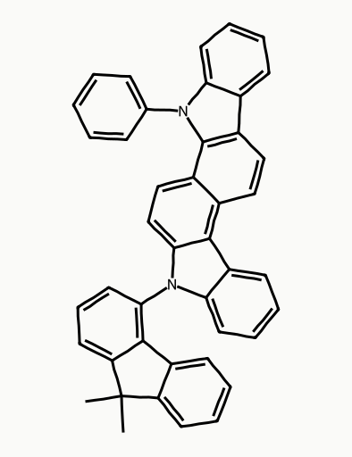 CC1(C)c2ccccc2-c2c(-n3c4ccccc4c4c5ccc6c7ccccc7n(-c7ccccc7)c6c5ccc43)cccc21